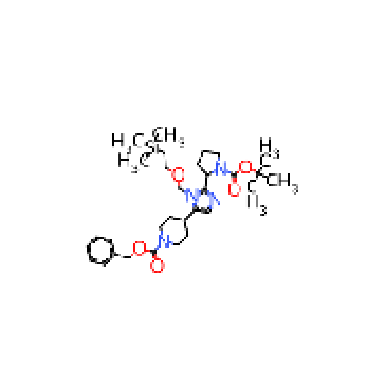 CC(C)(C)OC(=O)N1CCCC1c1ncc(C2CCN(C(=O)OCc3ccccc3)CC2)n1COCC[Si](C)(C)C